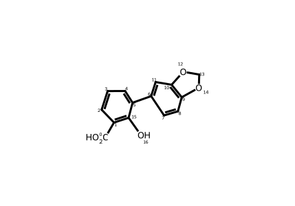 O=C(O)c1cccc(-c2ccc3c(c2)OCO3)c1O